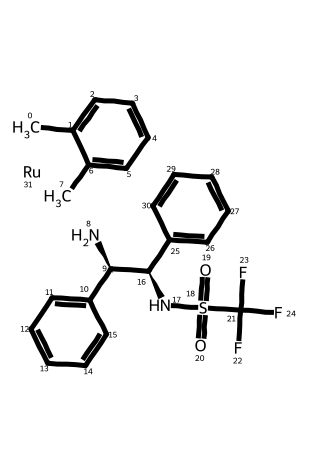 Cc1ccccc1C.N[C@H](c1ccccc1)[C@H](NS(=O)(=O)C(F)(F)F)c1ccccc1.[Ru]